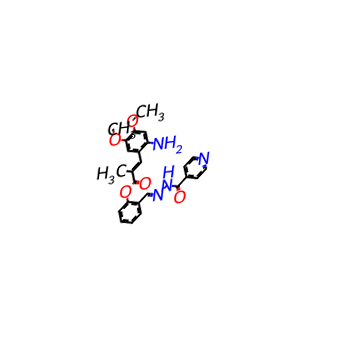 COc1cc(N)c(/C=C(\C)C(=O)Oc2ccccc2/C=N/NC(=O)c2ccncc2)cc1OC